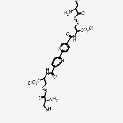 CCOC(=O)C(CSSC(=O)[C@@H](N)CS)NC(=O)c1ccc(-c2ccc(C(=O)NC(CSSC(=O)[C@@H](N)CS)C(=O)OCC)cn2)nc1